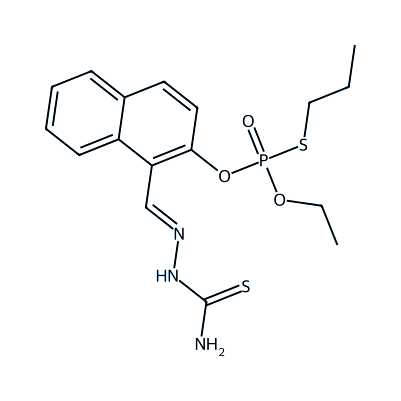 CCCSP(=O)(OCC)Oc1ccc2ccccc2c1C=NNC(N)=S